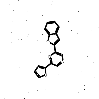 c1coc(-c2cncc(-c3cc4ccccc4o3)n2)c1